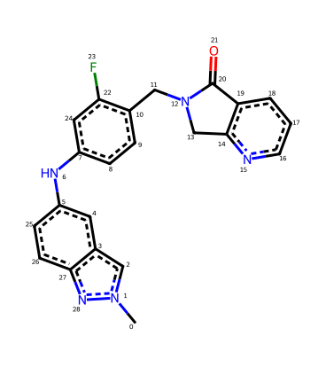 Cn1cc2cc(Nc3ccc(CN4Cc5ncccc5C4=O)c(F)c3)ccc2n1